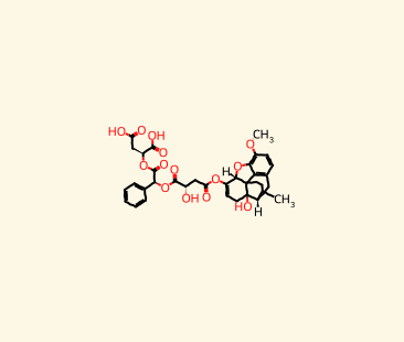 COc1ccc2c3c1O[C@H]1C(OC(=O)C[C@H](O)C(=O)O[C@H](C(=O)O[C@@H](CC(=O)O)C(=O)O)c4ccccc4)=CC[C@@]4(O)[C@@H](C2)C(C)CCC314